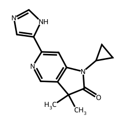 CC1(C)C(=O)N(C2CC2)c2cc(-c3cnc[nH]3)ncc21